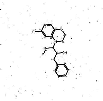 CNC(C(O)Cc1ccccc1)N1CCOc2ccc(Cl)cc21